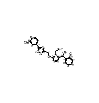 CC(C)Cn1c(SCc2noc(-c3cccc(Cl)c3)n2)nnc1C(O)c1ccccc1Cl